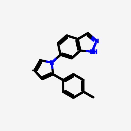 Cc1ccc(-c2c[c]cn2-c2ccc3cn[nH]c3c2)cc1